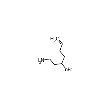 C=CCCC(CCC)CCN